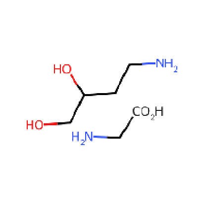 NCC(=O)O.NCCC(O)CO